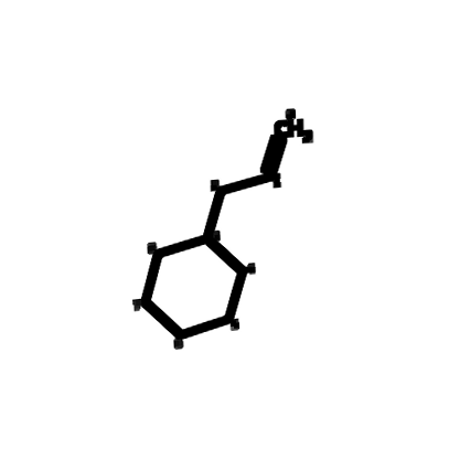 C=[C]CC1CCCCC1